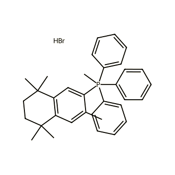 Br.Cc1cc2c(cc1P(C)(c1ccccc1)(c1ccccc1)c1ccccc1)C(C)(C)CCC2(C)C